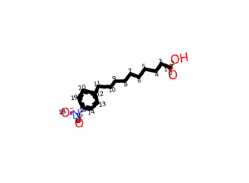 O=C(O)CCCCCCCCCc1ccc([N+](=O)[O-])cc1